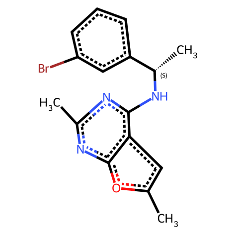 Cc1nc(N[C@@H](C)c2cccc(Br)c2)c2cc(C)oc2n1